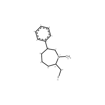 CN1CC(c2ccccc2)CCCC1CF